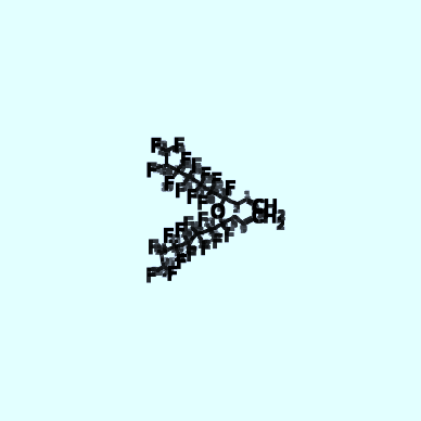 C=CCC(F)(OC(F)(CC=C)C(F)(F)C(F)(F)C(F)(F)C(F)(F)C(F)C(F)F)C(F)(F)C(F)(F)C(F)(F)C(F)(F)C(F)C(F)F